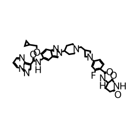 O=C1CCC(NC(=O)c2ccc(N3CC(CN4CCC(n5cc6cc(NC(=O)c7cnn8cccnc78)c(OCC7CC7)cc6n5)CC4)C3)cc2F)C(=O)N1